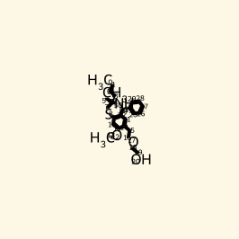 CCCC[C@]1(CC)CSc2cc(OC)c(CCOCCO)cc2[C@H](c2ccccc2)N1